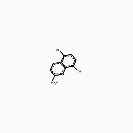 O=S(=O)(O)c1ccc2c(O)ccc(O)c2n1